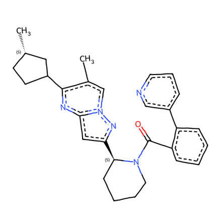 Cc1cn2nc([C@@H]3CCCCN3C(=O)c3ccccc3-c3cccnc3)cc2nc1C1CC[C@H](C)C1